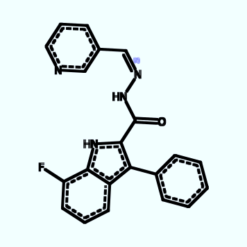 O=C(N/N=C\c1cccnc1)c1[nH]c2c(F)cccc2c1-c1ccccc1